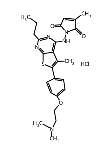 CCCc1nc(NN2C(=O)C=C(C)C2=O)c2c(C)c(-c3ccc(OCCN(C)C)cc3)sc2n1.Cl